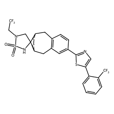 O=S1(=O)NC2(CN1CC(F)(F)F)C1CCC2Cc2cc(-c3ncc(-c4ccccc4C(F)(F)F)s3)ccc2C1